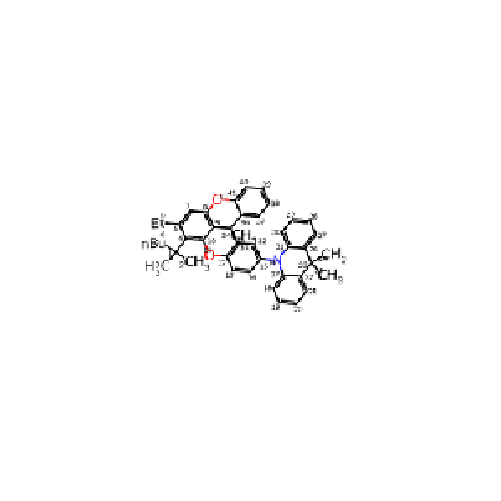 CCCCC(C)(C)c1c(CC)cc2c3c1Oc1ccc(N4c5ccccc5C(C)(C)c5ccccc54)cc1C3(C)c1ccccc1O2